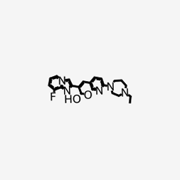 CCN1CCCN(c2ccc3c(n2)OC(O)C(c2cn4cccc(F)c4n2)=C3)CC1